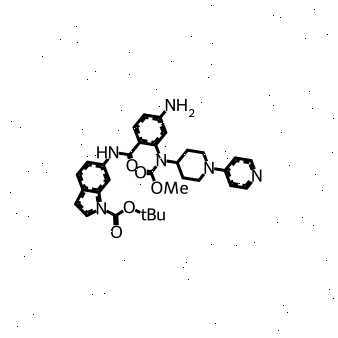 COC(=O)N(c1cc(N)ccc1C(=O)Nc1ccc2ccn(C(=O)OC(C)(C)C)c2c1)C1CCN(c2ccncc2)CC1